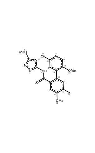 COc1nnc(NC(=O)c2cc(OC)c(C)cc2-c2cc(Cl)ncc2OC)s1